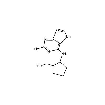 OCC1CCCC1Nc1nc(Cl)nc2cn[nH]c12